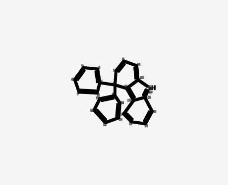 C1=CC(c2ccccc2)(c2ccccc2)C2=c3ccccc3=[SiH]C2=C1